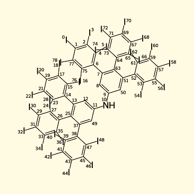 Ic1c(I)c(I)c(-c2cc(Nc3cc(-c4c(I)c(I)c(I)c(I)c4I)c(-c4c(I)c(I)c(I)c(I)c4I)c(-c4c(I)c(I)c(I)c(I)c4I)c3)cc(-c3c(I)c(I)c(I)c(I)c3I)c2-c2c(I)c(I)c(I)c(I)c2I)c(I)c1I